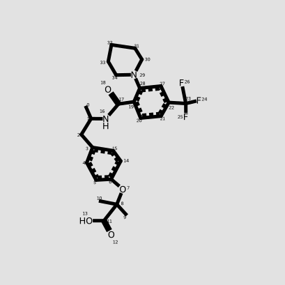 CC(Cc1ccc(OC(C)(C)C(=O)O)cc1)NC(=O)c1ccc(C(F)(F)F)cc1N1CCCCC1